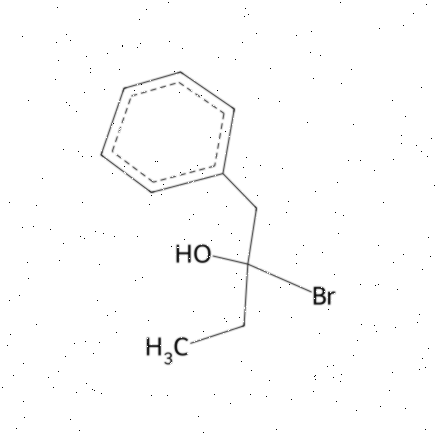 CCC(O)(Br)Cc1ccccc1